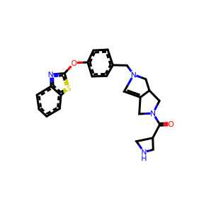 O=C(C1CNC1)N1CC2=CN(Cc3ccc(Oc4nc5ccccc5s4)cc3)CC2C1